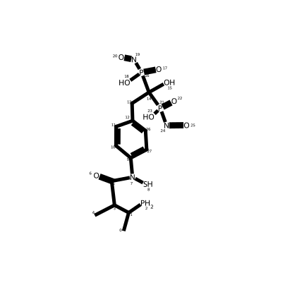 CC(P)C(C)C(=O)N(S)c1ccc(CC(O)(P(=O)(O)N=O)P(=O)(O)N=O)cc1